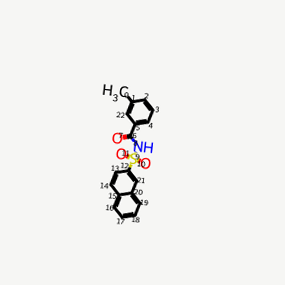 Cc1cccc(C(=O)NS(=O)(=O)c2ccc3ccccc3c2)c1